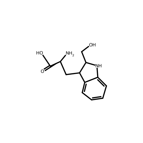 NC(CC1c2ccccc2NC1CO)C(=O)O